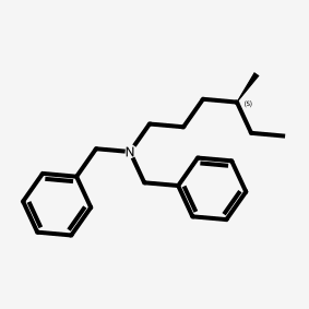 CC[C@H](C)CCCN(Cc1ccccc1)Cc1ccccc1